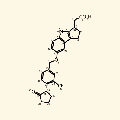 O=C(O)C[C@H]1CCc2c1[nH]c1ccc(OCc3ccc([C@@H]4CCCC4=O)c(C(F)(F)F)c3)cc21